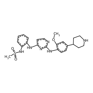 COc1cc(C2CCNCC2)ccc1Nc1nccc(Nc2ccccc2NS(C)(=O)=O)n1